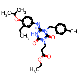 CCOC(=O)CCn1c(=O)[nH]/c(=N\c2ccc(OC(C)C)c(CC)c2)n(Cc2ccc(C)cc2)c1=O